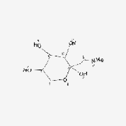 CNCC1(O)OCC(O)C(O)C1O